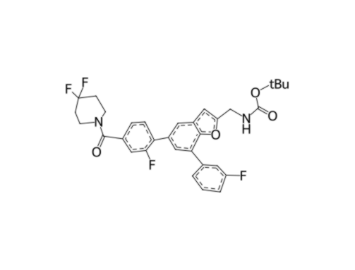 CC(C)(C)OC(=O)NCc1cc2cc(-c3ccc(C(=O)N4CCC(F)(F)CC4)cc3F)cc(-c3cccc(F)c3)c2o1